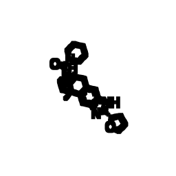 CC1(C)[C@H]2Cc3cc4[nH]c([C@@H]5CCCO5)nc4cc3[C@]1(C)CCN2C(=O)N1CCCCC1